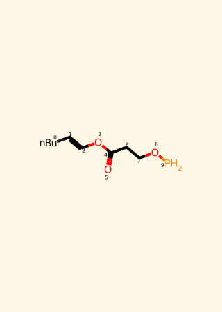 CCCCC=COC(=O)CCOP